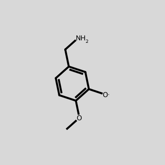 COc1ccc(CN)cc1[O]